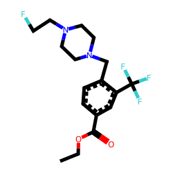 CCOC(=O)c1ccc(CN2CCN(CCF)CC2)c(C(F)(F)F)c1